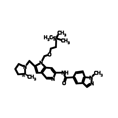 C[C@@H]1CCCN1Cc1cc2cnc(NC(=O)c3ccc4c(cnn4C)c3)cc2n1COCC[Si](C)(C)C